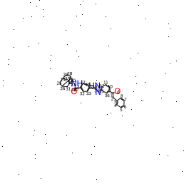 O=C(Cc1ccccc1)c1ccc2[nH]c(-c3ccc(C(=O)NC45CC6CC(CC(C6)C4)C5)cc3)nc2c1